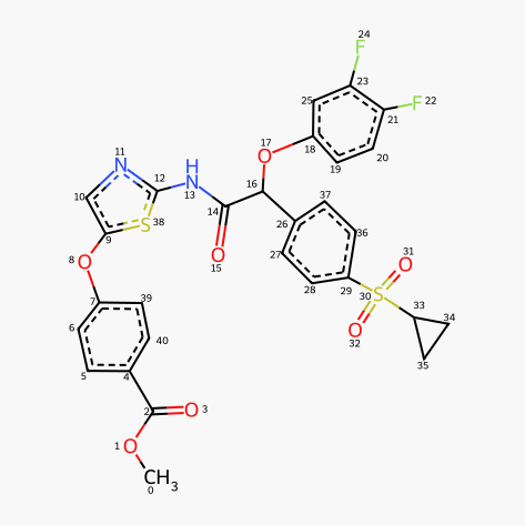 COC(=O)c1ccc(Oc2cnc(NC(=O)C(Oc3ccc(F)c(F)c3)c3ccc(S(=O)(=O)C4CC4)cc3)s2)cc1